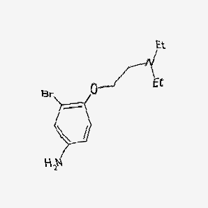 CCN(CC)CCOc1ccc(N)cc1Br